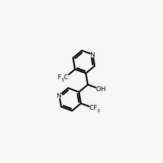 OC(c1cnccc1C(F)(F)F)c1cnccc1C(F)(F)F